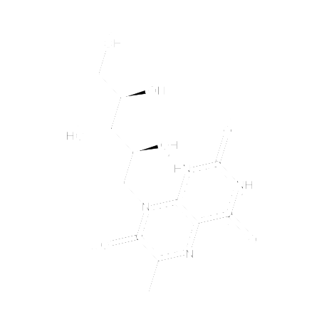 Cc1nc2c(=O)[nH]c(=O)[nH]c2n(C[C@H](O)[C@H](O)[C@H](O)CO)c1=O